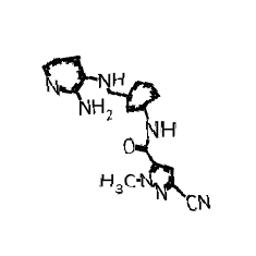 Cn1nc(C#N)cc1C(=O)Nc1cccc(CNc2cccnc2N)c1